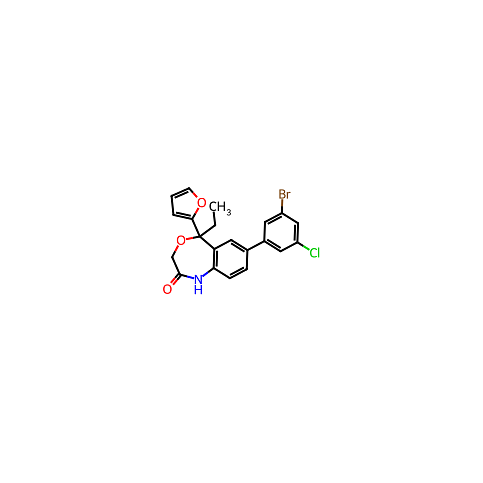 CCC1(c2ccco2)OCC(=O)Nc2ccc(-c3cc(Cl)cc(Br)c3)cc21